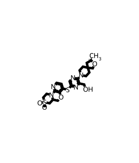 C[C@H]1CC2(CCN(c3ncc(Sc4ccnc5c4OCC4CS(=O)(=O)CCN54)nc3CO)CC2)CO1